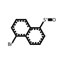 O=[S+]c1[c]ccc2c(Br)cccc12